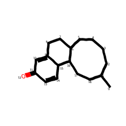 CC1CCCCC2CCC3=CC(=O)C=CC3C2CC1